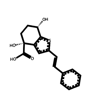 O=C(O)[C@@]1(O)CC[C@H](O)c2sc(C=Cc3ccccc3)cc21